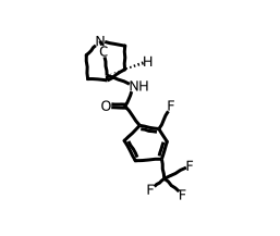 O=C(N[C@@H]1CN2CCC1CC2)c1ccc(C(F)(F)F)cc1F